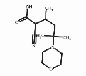 CC(CC(C)(C)N1CCOCC1)C(C#N)C(=O)O